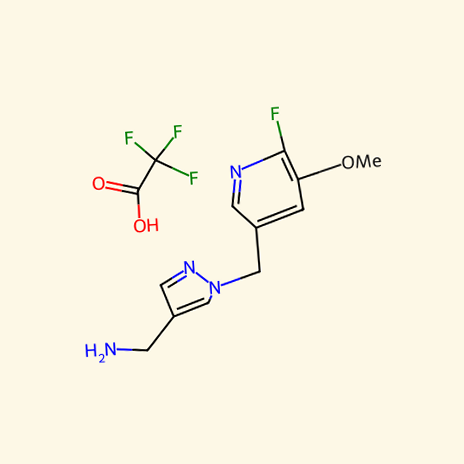 COc1cc(Cn2cc(CN)cn2)cnc1F.O=C(O)C(F)(F)F